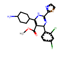 COC(=O)C1=C(C2CCC(N)CC2)NC(c2nccs2)=NC1c1ccc(F)cc1Cl